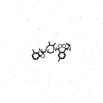 Cc1ccc(-c2ncco2)c(C(=O)N2CCN(c3nc4c(C)cccc4o3)CC(C)C2C)c1